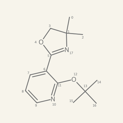 CC1(C)COC(c2cccnc2OC(C)(C)C)=N1